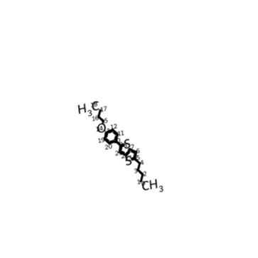 CCCCCc1cc2sc(-c3ccc(OCCCC)cc3)cc2s1